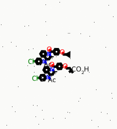 CC(=O)N(c1ccc(Cl)cc1)[C@@H]1C[C@H](C)N(C(=O)c2ccc(OCC3CC3)cc2)c2ccccc21.CC(=O)N(c1ccc(Cl)cc1)[C@@H]1C[C@H](C)N(C(=O)c2ccc(OCCC(C)(C)C(=O)O)cc2)c2ccccc21